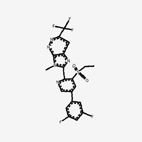 CCS(=O)(=O)c1cc(-c2cc(F)cc(F)c2)cnc1-c1nc2cc(C(F)(F)F)nnc2n1C